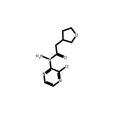 NN(C(=O)CC1CCOC1)c1nccnc1Cl